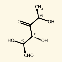 C[C@@H](O)C(=O)[C@H](O)[C@H](O)C=O